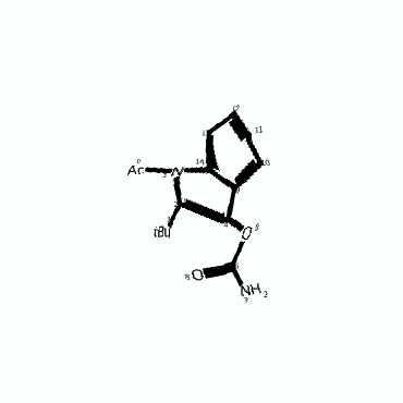 CC(=O)n1c(C(C)(C)C)c(OC(N)=O)c2ccccc21